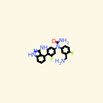 NCc1cc(N(C(N)=O)c2ccc(-c3cccc4[nH]nc(N)c34)c(F)c2)ccc1F